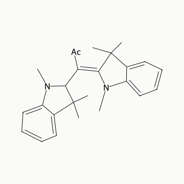 CC(=O)C(=C1N(C)c2ccccc2C1(C)C)C1N(C)c2ccccc2C1(C)C